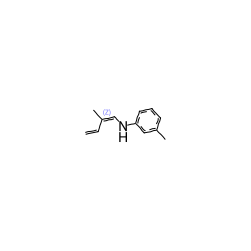 C=C/C(C)=C\Nc1cccc(C)c1